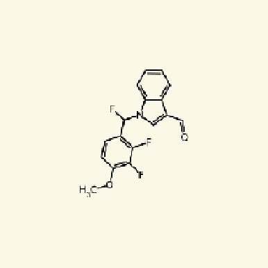 COc1ccc(C(F)n2cc(C=O)c3ccccc32)c(F)c1F